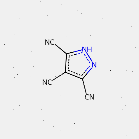 N#Cc1n[nH]c(C#N)c1C#N